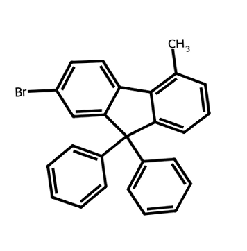 Cc1cccc2c1-c1ccc(Br)cc1C2(c1ccccc1)c1ccccc1